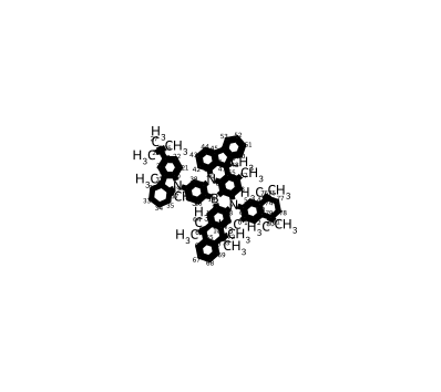 Cc1cc2c(cc1N1c3cc4c(cc3B3c5ccc(N6c7ccc(C(C)(C)C)cc7C7(C)CCCCC67C)cc5N5c6cccc7c6C(C)(c6ccccc6-7)c6c(C)cc1c3c65)C(C)(C)c1ccccc1C4(C)C)C(C)(C)CCC2(C)C